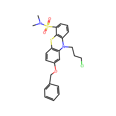 CN(C)S(=O)(=O)c1cccc2c1Sc1ccc(OCc3ccccc3)cc1N2CCCCl